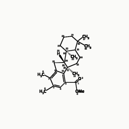 COC(=O)c1cc(C)c(C)c2c1[C@]1(C)CCC3C(C)(C)CCC[C@]3(C)[C@H]1C2